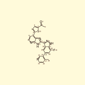 CC(=O)c1ccc(-c2ccnc3[nH]c(-c4n[nH]c5c(F)cc(-c6cnccc6C)cc45)nc23)s1